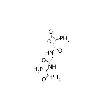 O=C(CNC(=O)[C@@H]1OC(=O)[C@H]1P)N[C@@H](P)C(=O)P